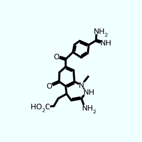 CN1NC(N)=CC(CCC(=O)O)C2=C1C=C(C(=O)c1ccc(C(=N)N)cc1)CC2=O